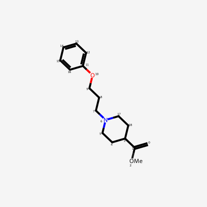 C=C(OC)C1CCN(CCCOc2ccccc2)CC1